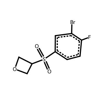 O=S(=O)(c1ccc(F)c(Br)c1)C1COC1